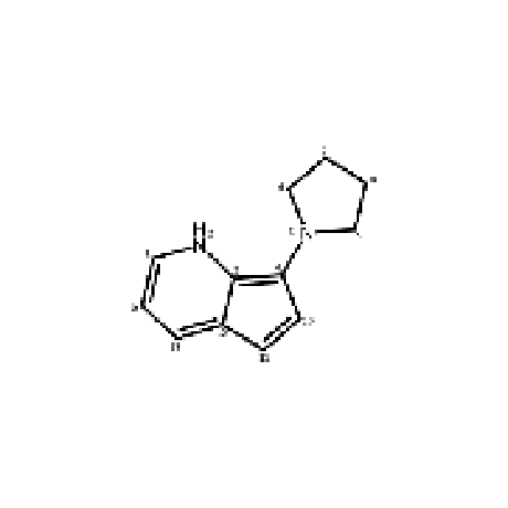 c1c[nH]c2c(N3CCCC3)ccc-2c1